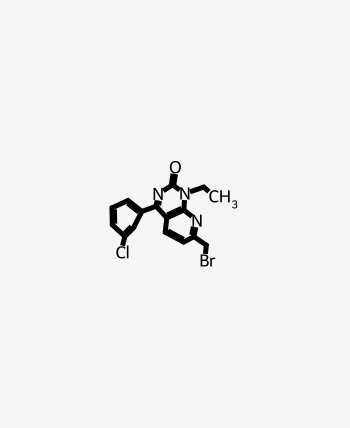 CCn1c(=O)nc(-c2cccc(Cl)c2)c2ccc(CBr)nc21